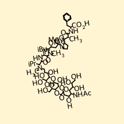 CCC(C)C(C(CC(=O)N1CCCC1C(OC)C(C)C(=O)NC(Cc1ccccc1)C(=O)O)OC)N(C)C(=O)C(NC(=O)C(C(C)C)N(C)CC(O)C(O)C(OC1OC(CO)C2OC(=O)C3(CC(O)C(NC(C)=O)C(C(O)C(O)CO)O3)OC2C1O)C(O)CO)C(C)C